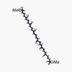 COC(C)(C)C/C=C/C(C)=C/C=C/C(C)=C/C=C/C(C)=C/C=C/C=C(C)/C=C/C=C(C)/C=C/C=C(\C)CCCC(C)(C)OC